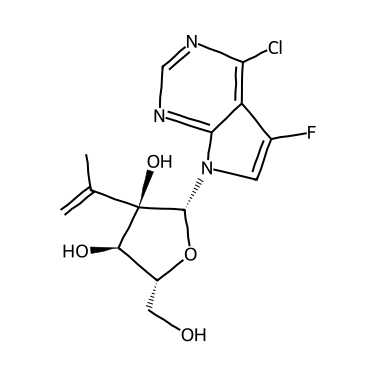 C=C(C)[C@@]1(O)[C@H](O)[C@@H](CO)O[C@H]1n1cc(F)c2c(Cl)ncnc21